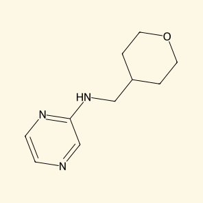 c1cnc(NCC2CCOCC2)cn1